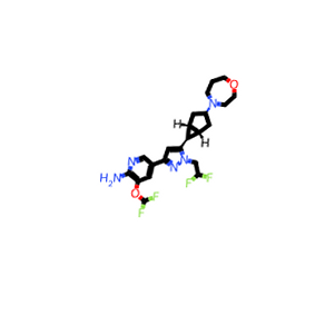 Nc1ncc(-c2cc([C@H]3[C@@H]4C[C@@H](N5CCCOCC5)C[C@@H]43)n(CC(F)F)n2)cc1OC(F)F